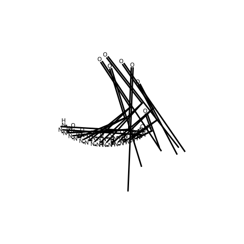 O=CN1CN2C(=O)N3CN4C(=O)N5CN6C(=O)N7CN8C(=O)N9CN%10C(=O)N%11CN%12C(=O)N%13CN%14C(=O)N%15CNC%16[C@H]1N1CN%17C(=O)N(CN%18C(=O)N(CN%19C(=O)N(CN%20C(=O)N(CN%21C(=O)N(CN%22C(=O)N(CN%23C(=O)N(CN%16C1=O)C%15C%14%23)C%13C%12%22)C%11C%10%21)C9[C@@H]8%20)[C@H]7[C@H]6%19)[C@H]5[C@H]4%18)[C@H]3[C@H]2%17